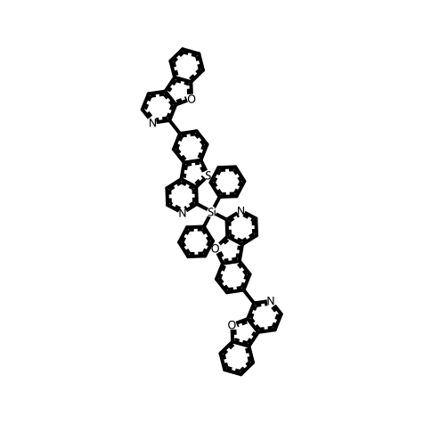 c1ccc([Si](c2ccccc2)(c2nccc3c2oc2ccc(-c4nccc5c4oc4ccccc45)cc23)c2nccc3c2sc2ccc(-c4nccc5c4oc4ccccc45)cc23)cc1